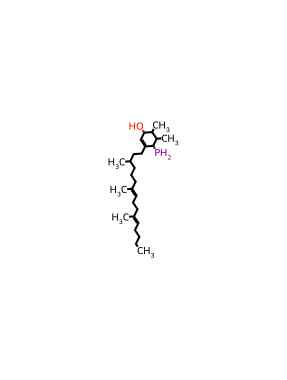 CCCC/C=C(\C)CC/C=C(\C)CCCC(C)CCC1=CC(O)C(C)C(C)C1P